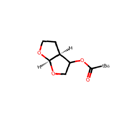 CC(C)(C)C(=O)OC1CO[C@H]2OCC[C@@H]12